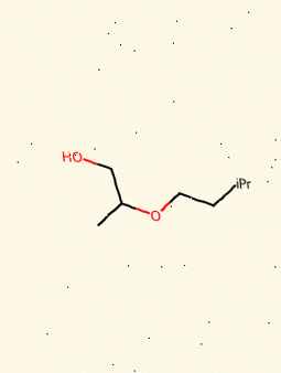 CC(C)CCOC(C)CO